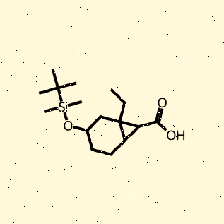 CCC12CC(O[Si](C)(C)C(C)(C)C)CCC1C2C(=O)O